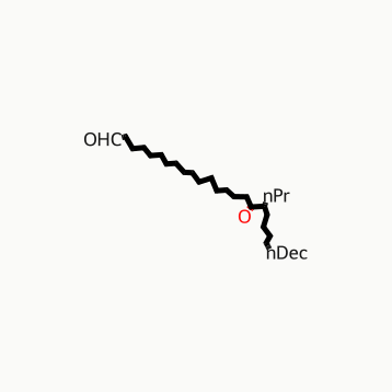 CCCCCCCCCCCCCCC(CCC)C(=O)CCCCCCCCCCCCCCCC=O